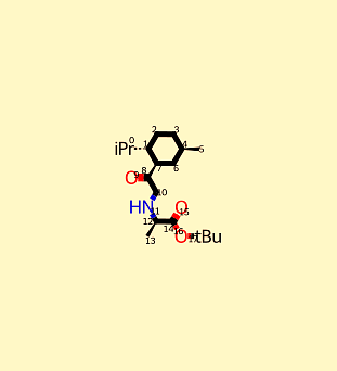 CC(C)[C@@H]1CC[C@@H](C)C[C@H]1C(=O)CN[C@H](C)C(=O)OC(C)(C)C